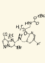 CCOC(=O)c1cnn2cc(Br)c(NCc3cc(F)cnc3O[C@@H](C)CNC(=O)OC(C)(C)C)nc12